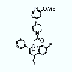 C=C=C(/C=C(\NCC(=O)N1CCN(c2cc(OC)ncn2)CC1)c1ccccc1)c1ccc(F)cn1